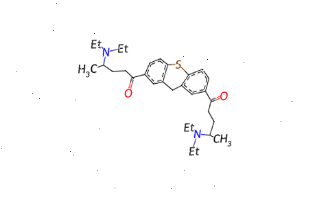 CCN(CC)C(C)CCC(=O)c1ccc2c(c1)Cc1cc(C(=O)CCC(C)N(CC)CC)ccc1S2